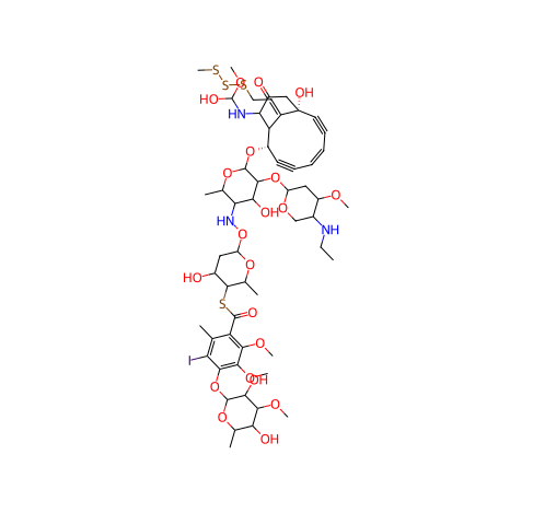 CCNC1COC(OC2C(O[C@H]3C#C/C=C\C#C[C@]4(O)CC(=O)C(NC(O)OC)C3/C4=C\CSSSC)OC(C)C(NOC3CC(O)C(SC(=O)c4c(C)c(I)c(OC5OC(C)C(O)C(OC)C5O)c(OC)c4OC)C(C)O3)C2O)CC1OC